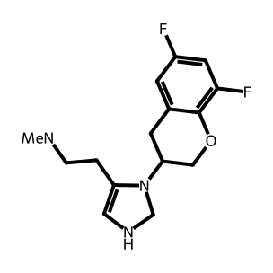 CNCCC1=CNCN1C1COc2c(F)cc(F)cc2C1